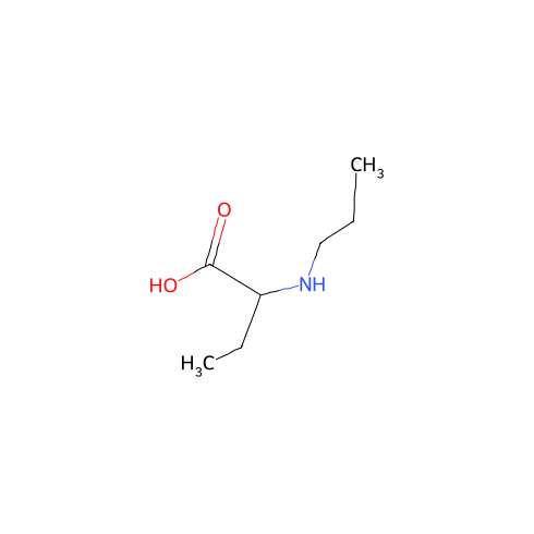 CCCNC(CC)C(=O)O